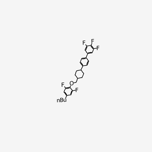 CCCCc1cc(F)c(OCC2CCC(c3ccc(-c4cc(F)c(F)c(F)c4)cc3)CC2)c(F)c1